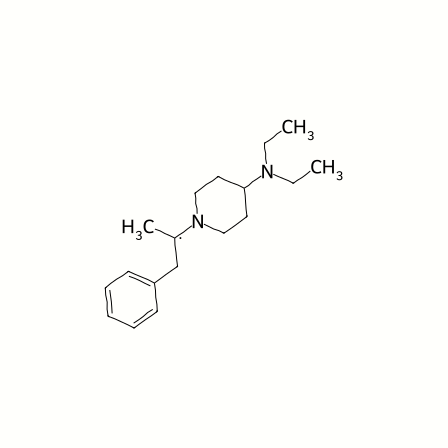 CCN(CC)C1CCN([C](C)Cc2ccccc2)CC1